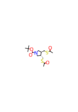 CC(=O)SC[C@@H]1CN(C(=O)OC(C)(C)C)C[C@H]1CSC(C)=O